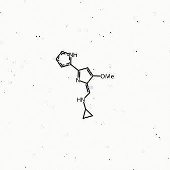 COC1=CC(c2ccc[nH]2)=N/C1=C\NC1CC1